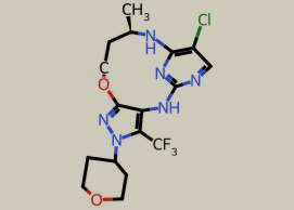 C[C@@H]1CCOc2nn(C3CCOCC3)c(C(F)(F)F)c2Nc2ncc(Cl)c(n2)N1